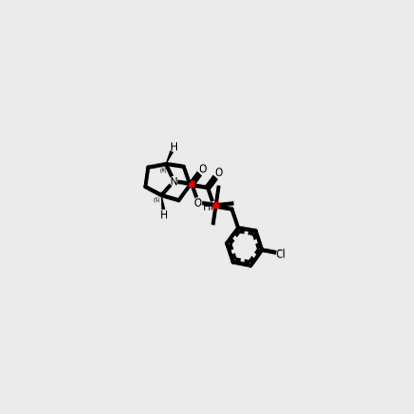 CC(C)(C)OC(=O)N1[C@@H]2CC[C@H]1CC(C(=O)NCc1cccc(Cl)c1)C2